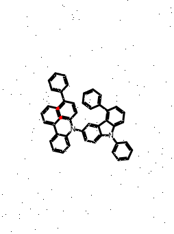 c1ccc(-c2ccc(N(c3ccc4c(c3)c3c(-c5ccccc5)cccc3n4-c3ccccc3)c3ccccc3-c3ccccc3)cc2)cc1